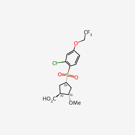 CO[C@H]1C[C@@H](S(=O)(=O)c2ccc(OCC(F)(F)F)cc2Cl)C[C@@H]1C(=O)O